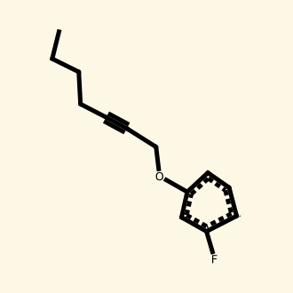 CCCCC#CCOc1cc[c]c(F)c1